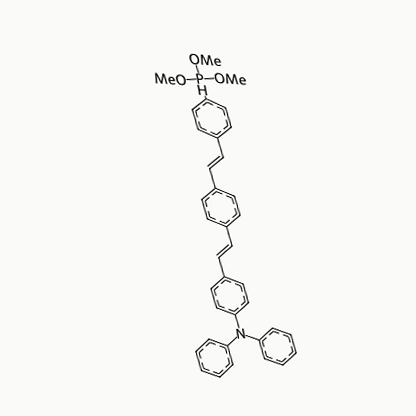 CO[PH](OC)(OC)c1ccc(/C=C/c2ccc(/C=C/c3ccc(N(c4ccccc4)c4ccccc4)cc3)cc2)cc1